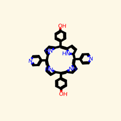 Oc1ccc(/C2=C3\C=CC(N3)/C(c3ccncc3)=c3/cc/c([nH]3)=C(\c3ccc(O)cc3)C3C=C/C(=C(\c4ccncc4)c4ccc2[nH]4)N3)cc1